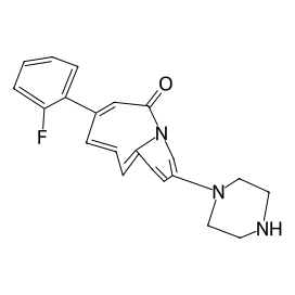 O=C1\C=C(c2ccccc2F)/C=C/C=C2\C=CC(N3CCNCC3)=CN12